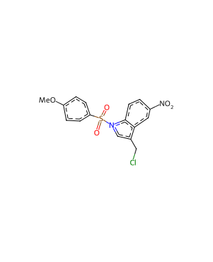 COc1ccc(S(=O)(=O)n2cc(CCl)c3cc([N+](=O)[O-])ccc32)cc1